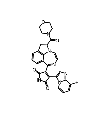 O=C1NC(=O)C(c2cnc3c(F)cccn23)=C1C1=NC=CN2c3c(cccc31)CC2C(=O)N1CCOCC1